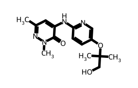 Cc1cc(Nc2ccc(OC(C)(C)CO)cn2)c(=O)n(C)n1